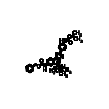 CC(C)OC(=O)Nc1ccc(-c2ncc(-c3ccc(NC(=O)OCc4ccccc4)cc3S(=O)(=O)NC(C)(C)C)s2)cc1